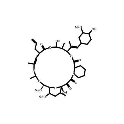 C=CCC1/C=C(/C)CC(C)C[C@H](OC)C2OC(O)(C(=O)C(=O)N3CCCCC3C(=O)OC(/C(C)=C/C3CCC(O)C(OC)C3)C(C)C(O)CC1=O)C(C)CC2OC